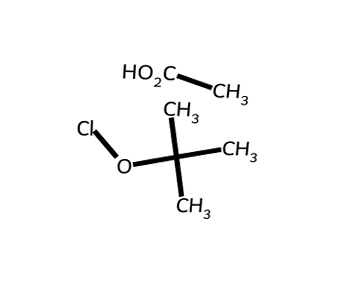 CC(=O)O.CC(C)(C)OCl